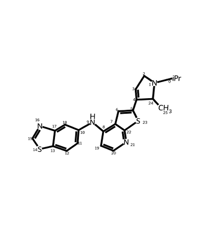 CC(C)N1CC=C(c2cc3c(Nc4ccc5scnc5c4)ccnc3s2)C1C